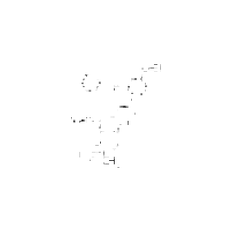 CCOc1ccc(C2=CC3=CC(OC)=C4CC(=C3OC2)C=CC(C)(C)O4)c(OCc2ccccc2)c1